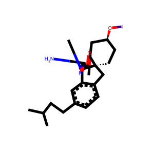 CC(C)CCc1ccc2c(c1)C1(N=C(N)N(C)C1=O)[C@]1(CC[C@H](OI)CC1)C2